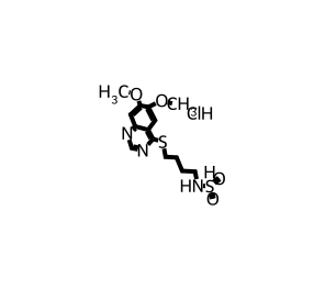 COc1cc2ncnc(SCCCCN[SH](=O)=O)c2cc1OC.Cl